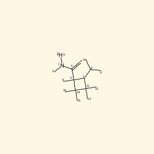 [2H]N(C)C(=C)C1(C)C(C(C)C)C(C)(C)C1(C)C